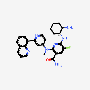 CN(c1ccnc(-c2cccc3cccnc23)c1)c1nc(N[C@@H]2CCCCC2N)c(F)cc1C(N)=O